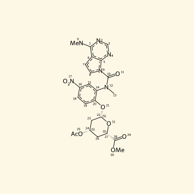 CNc1ncnc2c1ccn2C(=O)N(C)c1cc([N+](=O)[O-])ccc1O[C@H]1C[C@@H](OC(C)=O)C[C@@H](C(=O)OC)O1